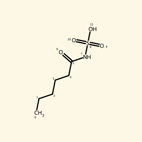 CCCCCC(=O)NS(=O)(=O)O